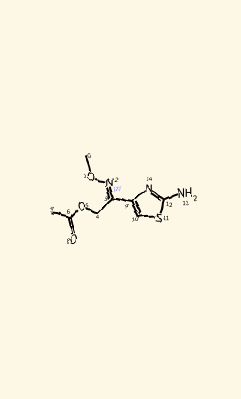 CO/N=C(\COC(C)=O)c1csc(N)n1